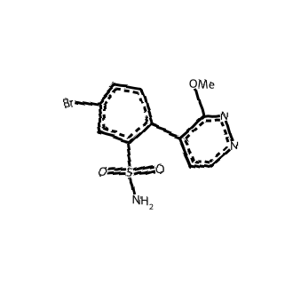 COc1nnccc1-c1ccc(Br)cc1S(N)(=O)=O